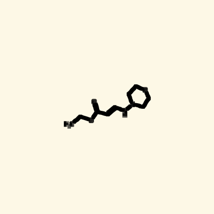 CCOC(=O)C=CNN1CCOCC1